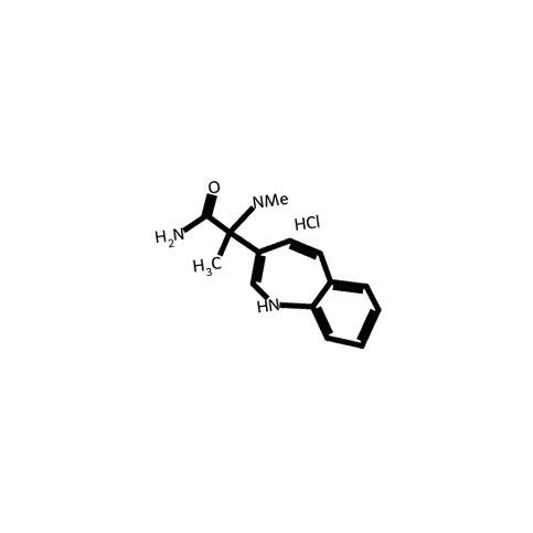 CNC(C)(C(N)=O)C1=CNc2ccccc2C=C1.Cl